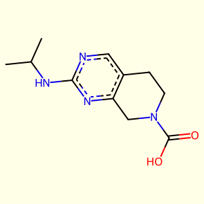 CC(C)Nc1ncc2c(n1)CN(C(=O)O)CC2